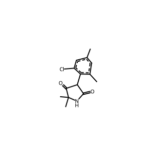 Cc1cc(C)c(C2C(=O)NC(C)(C)C2=O)c(Cl)c1